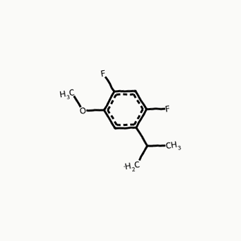 [CH2]C(C)c1cc(OC)c(F)cc1F